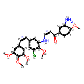 COc1ccc(C(=O)/C=C\Nc2cc(/C=C\c3cc(OC)c(OC)c(OC)c3)cc(Br)c2OC)cc1N